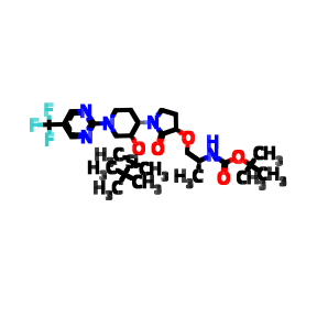 C[C@@H](CO[C@@H]1CCN([C@H]2CCN(c3ncc(C(F)(F)F)cn3)C[C@@H]2O[Si](C)(C)C(C)(C)C)C1=O)NC(=O)OC(C)(C)C